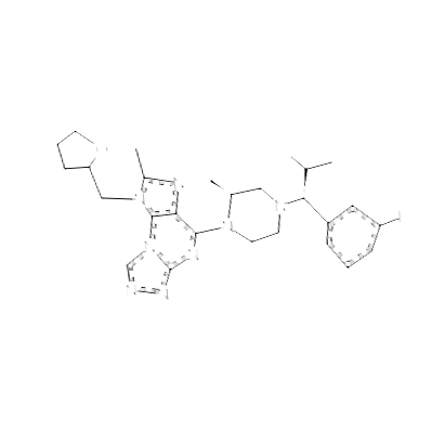 Cc1nc2c(N3C[C@@H](C)N([C@H](c4cccc(F)c4)C(C)C)C[C@@H]3C)nc3nncn3c2n1CC1CCCO1